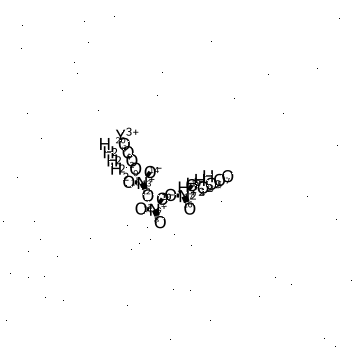 O.O.O.O.O.O.O.O.O=[N+]([O-])[O-].O=[N+]([O-])[O-].O=[N+]([O-])[O-].[Y+3]